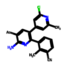 CC(=O)c1cc(-c2cc(C)nc(Cl)c2)c(-c2cccc(C#N)c2C)nc1N